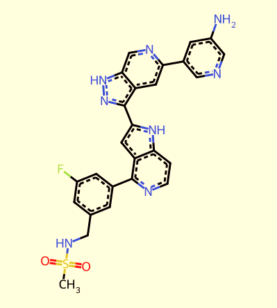 CS(=O)(=O)NCc1cc(F)cc(-c2nccc3[nH]c(-c4n[nH]c5cnc(-c6cncc(N)c6)cc45)cc23)c1